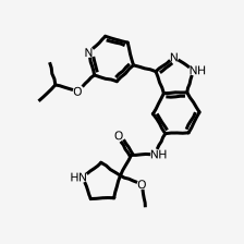 COC1(C(=O)Nc2ccc3[nH]nc(-c4ccnc(OC(C)C)c4)c3c2)CCNC1